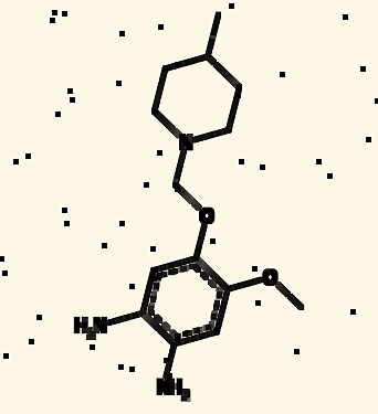 COc1cc(N)c(N)cc1OCN1CCC(C)CC1